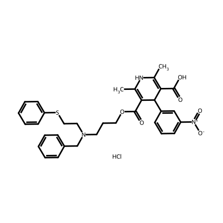 CC1=C(C(=O)O)C(c2cccc([N+](=O)[O-])c2)C(C(=O)OCCCN(CCSc2ccccc2)Cc2ccccc2)=C(C)N1.Cl